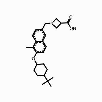 Cc1c(OC2CCC(C(C)(C)C)CC2)ccc2cc(CN3CC(C(=O)O)C3)ccc12